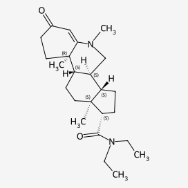 CCN(CC)C(=O)[C@H]1CC[C@H]2[C@@H]3CN(C)C4=CC(=O)CC[C@]4(C)[C@H]3CC[C@]12C